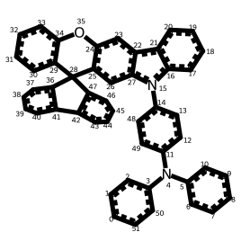 c1ccc(N(c2ccccc2)c2ccc(-n3c4ccccc4c4cc5c(cc43)C3(c4ccccc4O5)c4ccccc4-c4ccccc43)cc2)cc1